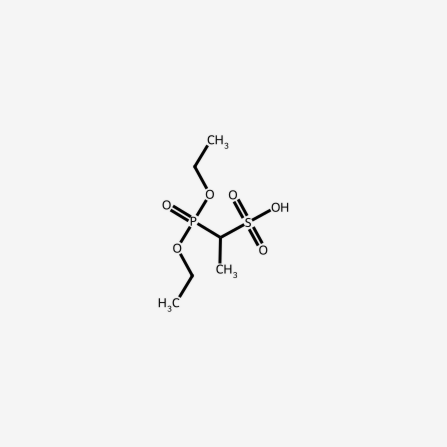 CCOP(=O)(OCC)C(C)S(=O)(=O)O